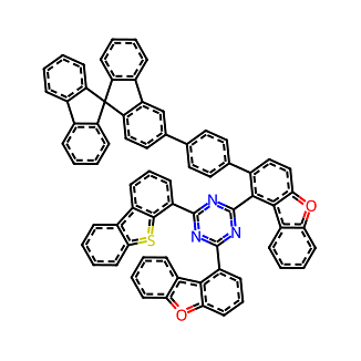 c1ccc2c(c1)-c1ccccc1C21c2ccccc2-c2cc(-c3ccc(-c4ccc5oc6ccccc6c5c4-c4nc(-c5cccc6c5sc5ccccc56)nc(-c5cccc6oc7ccccc7c56)n4)cc3)ccc21